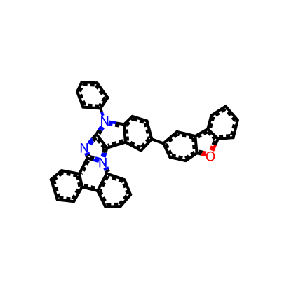 c1ccc(-n2c3ccc(-c4ccc5oc6ccccc6c5c4)cc3c3c2nc2c4ccccc4c4ccccc4n23)cc1